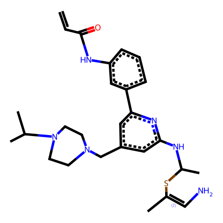 C=CC(=O)Nc1cccc(-c2cc(CN3CCN(C(C)C)CC3)cc(NC(C)S/C(C)=C\N)n2)c1